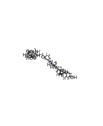 CN(CCCOc1cccc(/C=N/NC(=S)N/N=C2\CC[C@H]3[C@@H]4CCc5cc(O)ccc5[C@H]4CC[C@]23C)c1)CCC(O)(P(=O)(O)O)P(=O)(O)O